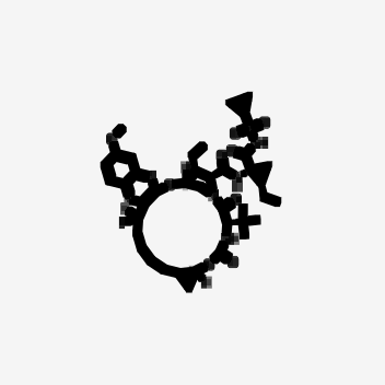 CC[C@@H]1[C@@H]2CN(C(=O)[C@H](C(C)(C)C)NC(=O)O[C@@H]3CC3CCCCC(F)(F)c3nc4ccc(OC)cc4nc3O2)[C@@H]1C(=O)N[C@]1(C(=O)NS(=O)(=O)C2CC2)C[C@H]1CC